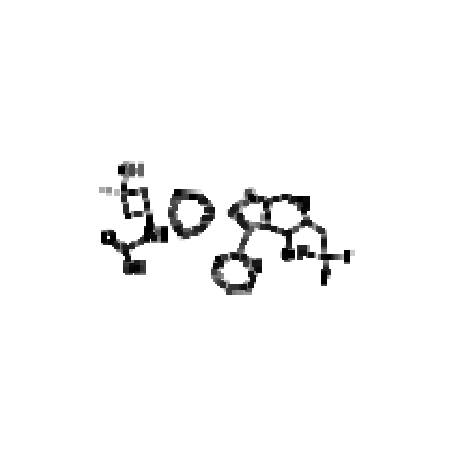 C[C@]1(O)C[C@](NC(=O)O)(c2ccc(-c3sc4c(c3-c3ccccn3)C(=O)C(CC(F)(F)F)N=C4)cc2)C1